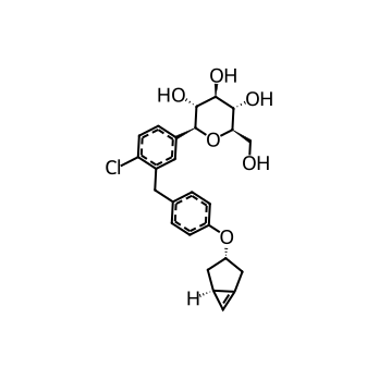 OC[C@H]1O[C@@H](c2ccc(Cl)c(Cc3ccc(O[C@@H]4CC5=C[C@H]5C4)cc3)c2)[C@H](O)[C@@H](O)[C@@H]1O